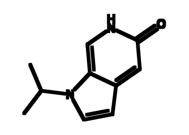 CC(C)n1ccc2cc(=O)[nH]cc21